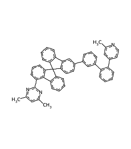 Cc1cc(-c2ccccc2-c2cccc(-c3ccc4c(c3)-c3ccccc3C43c4ccccc4-c4c(-c5nc(C)cc(C)n5)cccc43)c2)ccn1